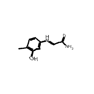 Cc1ccc(NCC(N)=O)cc1O